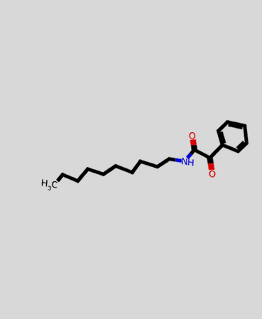 CCCCCCCCCCNC(=O)C(=O)c1ccccc1